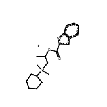 CC(C[N+](C)(C)C1CCCCC1)OC(=O)c1cc2ccccc2s1.[I-]